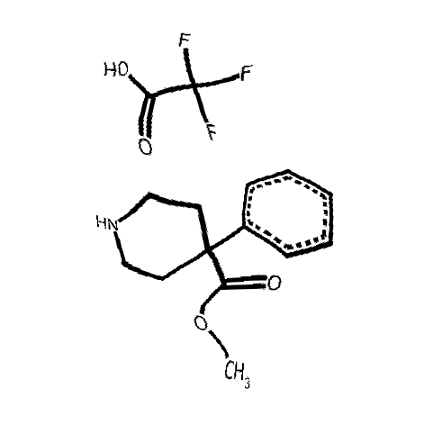 COC(=O)C1(c2ccccc2)CCNCC1.O=C(O)C(F)(F)F